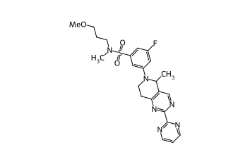 COCCCN(C)S(=O)(=O)c1cc(F)cc(N2CCc3nc(-c4ncccn4)ncc3C2C)c1